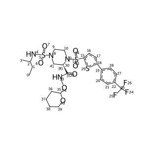 CCC(C)NS(=O)(=O)N1CCN(S(=O)(=O)c2ccc(-c3ccc(C(F)(F)F)cc3)s2)[C@@H](C(=O)NOC2CCCCO2)C1